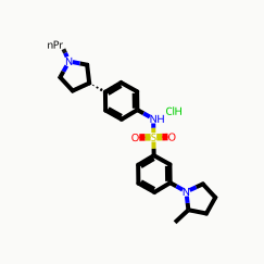 CCCN1CC[C@@H](c2ccc(NS(=O)(=O)c3cccc(N4CCCC4C)c3)cc2)C1.Cl